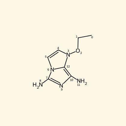 CCOn1ccn2c(N)nc(N)c12